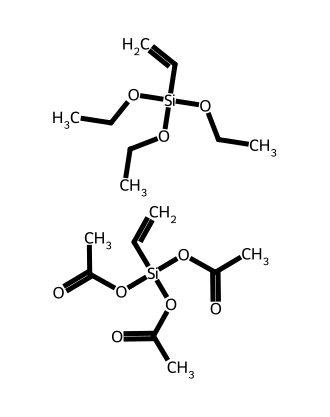 C=C[Si](OC(C)=O)(OC(C)=O)OC(C)=O.C=C[Si](OCC)(OCC)OCC